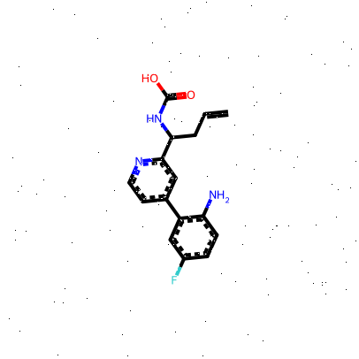 C=CCC(NC(=O)O)c1cc(-c2cc(F)ccc2N)ccn1